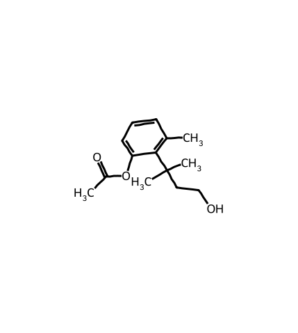 CC(=O)Oc1cccc(C)c1C(C)(C)CCO